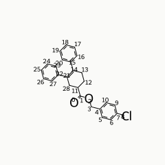 O=C(OCc1ccc(Cl)cc1)C1CCC(c2ccccc2)=C(c2ccccc2)C1